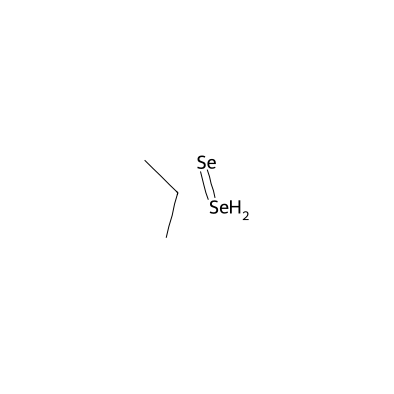 CCC.[Se]=[SeH2]